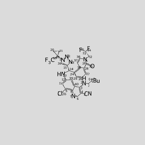 CC(C)(C)CNc1c(C#N)cnc2c(Cl)cc(NC(c3cn(C4(C(F)(F)F)CC4)nn3)c3cccc4c(=O)n(CC(F)F)ccc34)cc12